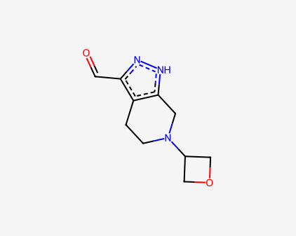 O=Cc1n[nH]c2c1CCN(C1COC1)C2